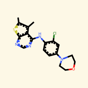 Cc1sc2ncnc(Nc3ccc(N4CCOCC4)cc3Cl)c2c1C